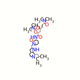 CC(C)Cc1nccc2cc(Cn3cccc(NC(=O)C(CCC=CC(=O)N(C)C)OC(=O)N(C)C)c3=O)[nH]c12